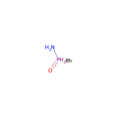 N[PH2]=O.[Rh]